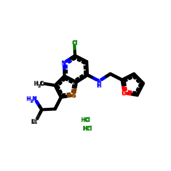 CCC(N)Cc1sc2c(NCc3ccco3)cc(Cl)nc2c1C.Cl.Cl